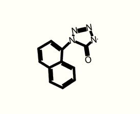 O=C1[N]N=NN1c1cccc2ccccc12